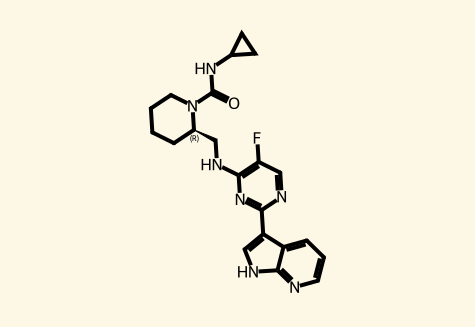 O=C(NC1CC1)N1CCCC[C@@H]1CNc1nc(-c2c[nH]c3ncccc23)ncc1F